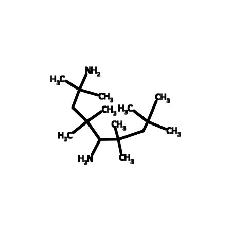 CC(C)(C)CC(C)(C)C(N)C(C)(C)CC(C)(C)N